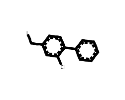 Clc1cc(CI)ccc1-c1ccccc1